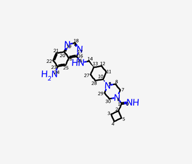 N=C(C1CCC1)N1CCN([C@H]2CC[C@H](CNc3ncnc4ccc(N)cc34)CC2)CC1